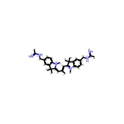 CC(=N)NCc1ccc2c(c1)C(C)(C)C(=CC(C)=CC1=[N+](C)c3ccc(CNC(C)=N)cc3C1(C)C)N2C